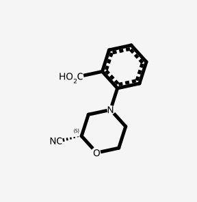 N#C[C@@H]1CN(c2ccccc2C(=O)O)CCO1